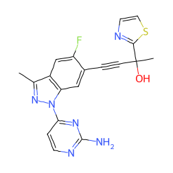 Cc1nn(-c2ccnc(N)n2)c2cc(C#CC(C)(O)c3nccs3)c(F)cc12